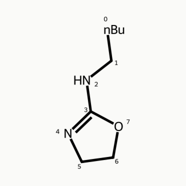 CCCCCNC1=NCCO1